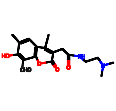 Cc1cc2c(C)c(CC(=O)NCCN(C)C)c(=O)oc2c(C=O)c1O